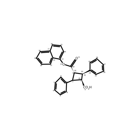 O=C(O)[C@H]1C(c2ccccc2)[C@H](C(=O)Oc2cccc3ccccc23)[C@H]1c1ccccc1